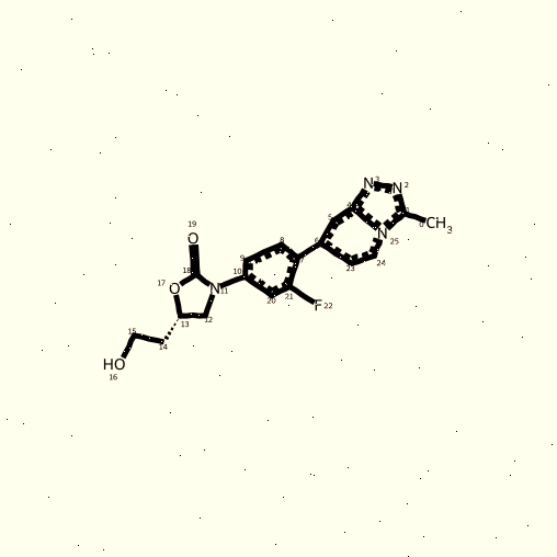 Cc1nnc2cc(-c3ccc(N4C[C@H](CCO)OC4=O)cc3F)ccn12